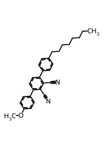 CCCCCCCCc1ccc(-c2ccc(-c3ccc(OC)cc3)c(C#N)c2C#N)cc1